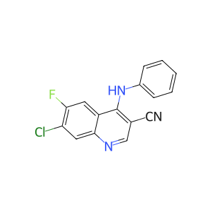 N#Cc1cnc2cc(Cl)c(F)cc2c1Nc1ccccc1